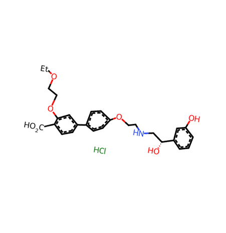 CCOCCOc1cc(-c2ccc(OCCNC[C@@H](O)c3cccc(O)c3)cc2)ccc1C(=O)O.Cl